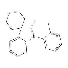 Cc1ccccc1N1c2ccccc2C2(CCCCC2)[C@@H]1C